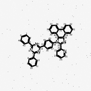 c1ccc(-c2nc(-c3ccccc3)nc(-c3ccc(-n4c(-c5ccccn5)nc5c6ccccc6c6ccccc6c54)cc3)n2)cc1